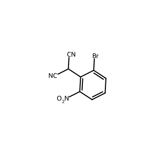 N#CC(C#N)c1c(Br)cccc1[N+](=O)[O-]